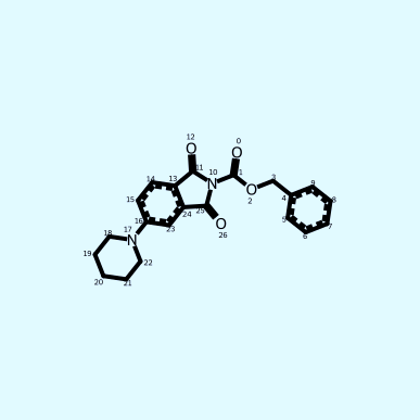 O=C(OCc1ccccc1)N1C(=O)c2ccc(N3CCCCC3)cc2C1=O